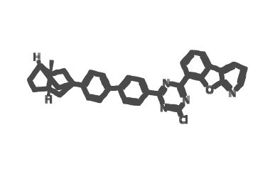 C[C@@]12CC3(c4ccc(-c5ccc(-c6nc(Cl)nc(-c7cccc8c7oc7ncccc78)n6)cc5)cc4)C[C@H]1CC[C@H]2C3